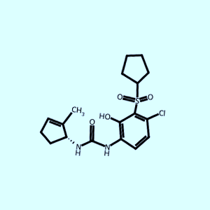 CC1=CCC[C@H]1NC(=O)Nc1ccc(Cl)c(S(=O)(=O)C2CCCC2)c1O